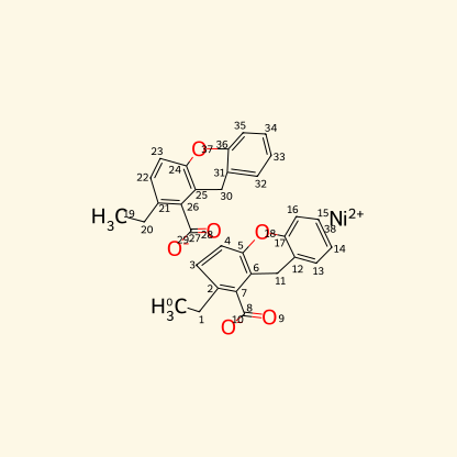 CCc1ccc2c(c1C(=O)[O-])Cc1ccccc1O2.CCc1ccc2c(c1C(=O)[O-])Cc1ccccc1O2.[Ni+2]